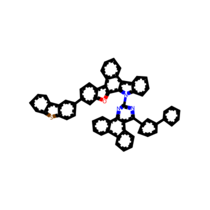 c1ccc(-c2cccc(-c3nc(-n4c5ccccc5c5c6ccccc6c6c7ccc(-c8ccc9sc%10ccccc%10c9c8)cc7oc6c54)nc4c5ccccc5c5ccccc5c34)c2)cc1